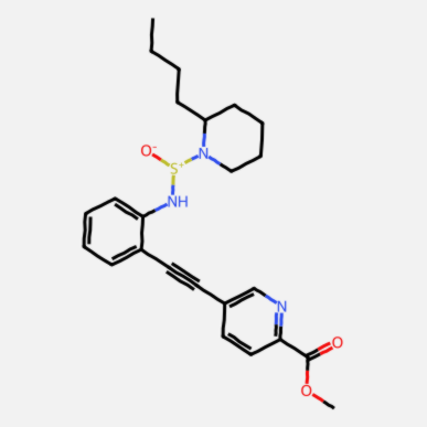 CCCCC1CCCCN1[S+]([O-])Nc1ccccc1C#Cc1ccc(C(=O)OC)nc1